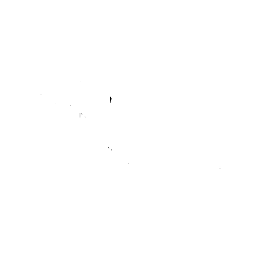 CC(C)(Cc1ccc(Br)cc1)NC(=O)[C@H](CCC(=O)O)NC(=O)OC(C)(C)C